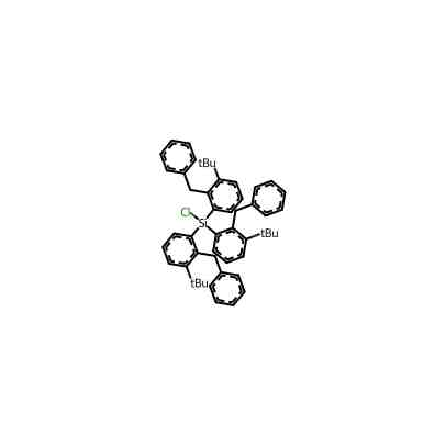 CC(C)(C)c1cccc([Si](Cl)(c2cccc(C(C)(C)C)c2Cc2ccccc2)c2cccc(C(C)(C)C)c2Cc2ccccc2)c1Cc1ccccc1